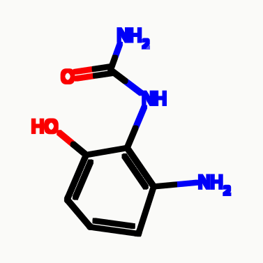 NC(=O)Nc1c(N)cccc1O